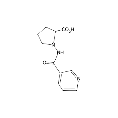 O=C(NN1CCCC1C(=O)O)c1cccnc1